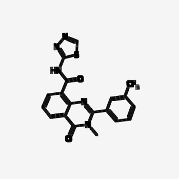 Cn1c(-c2cccc(C(F)(F)F)c2)nc2c(C(=O)Nc3nncs3)cccc2c1=O